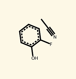 CC#N.Oc1ccccc1F